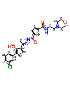 C/C(=N\NC(=O)c1ccc(C(=O)NCCN2CCOCC2)s1)c1csc(-c2cccc(Cl)c2)c1O